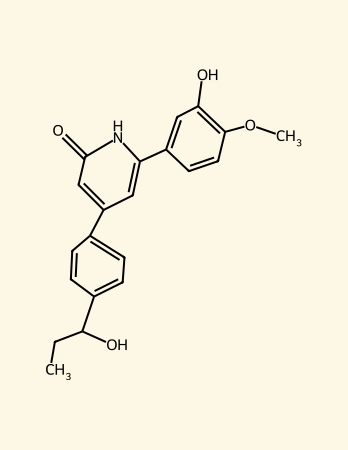 CCC(O)c1ccc(-c2cc(-c3ccc(OC)c(O)c3)[nH]c(=O)c2)cc1